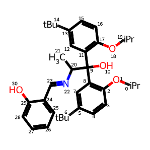 CC(C)Oc1ccc(C(C)(C)C)cc1C(O)(c1cc(C(C)(C)C)ccc1OC(C)C)C(C)N=Cc1ccccc1O